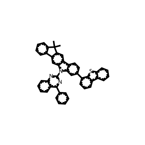 CC1(C)c2ccccc2-c2cc3c(cc21)c1ccc(-c2cccc4c2sc2ccccc24)cc1n3-c1nc(-c2ccccc2)c2ccccc2n1